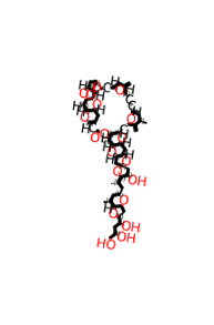 C=C1C2C[C@@H]3O[C@H]4C[C@H]5O[C@@]6(C[C@H](O)[C@H]([C@@H](C)C[C@@H]7C[C@H](C)[C@@H]8O[C@H]([C@@H](O)C[C@@H](O)CO)CC8O7)O6)C[C@H]5O[C@H]4[C@H](C)[C@H]3OC(=O)C[C@H]3CC[C@@H]4OC5C6O[C@@H]7C[C@](CC[C@H]8CC(=C)[C@H](CC[C@@H](C[C@H]1C)O2)O8)(O[C@H]6[C@H]4O3)O[C@@H]57